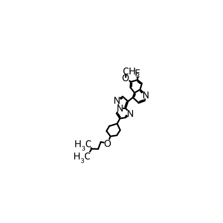 COc1cc2c(-c3cnn4cc(C5CCC(OCCC(C)C)CC5)cnc34)ccnc2cc1F